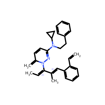 C=Cc1ccccc1/C=C(C)/C(=C/C)N1N=C(N(CCc2ccccc2)C2CC2)C=CC1=C